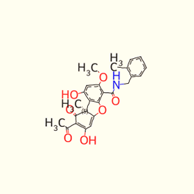 COc1cc(O)c2c(c1C(=O)NCc1ccccc1C)OC1=CC(O)=C(C(C)=O)C(=O)[C@]12C